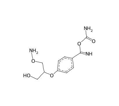 N=C(OC(N)=O)c1ccc(OC(CO)CON)cc1